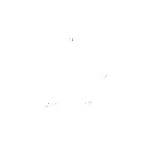 CCCCCCCCCCCC(O)C(C)CCCCCCCCCC